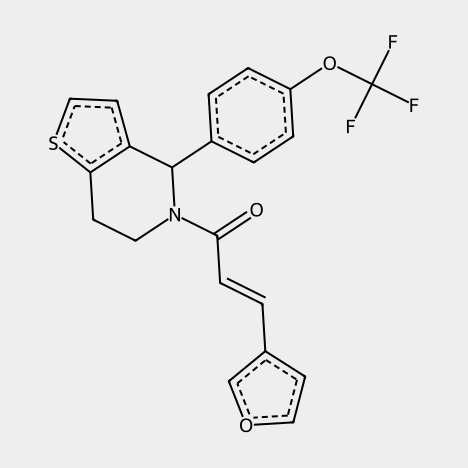 O=C(C=Cc1ccoc1)N1CCc2sccc2C1c1ccc(OC(F)(F)F)cc1